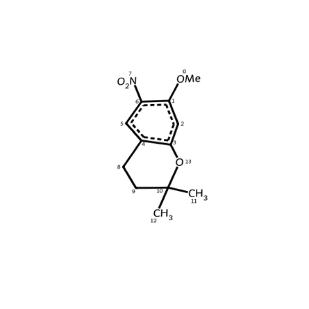 COc1cc2c(cc1[N+](=O)[O-])CCC(C)(C)O2